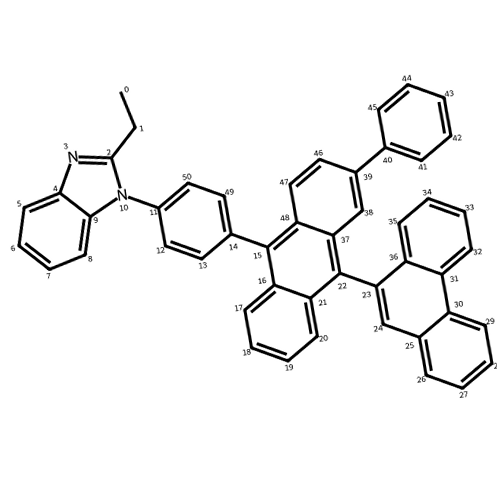 CCc1nc2ccccc2n1-c1ccc(-c2c3ccccc3c(-c3cc4ccccc4c4ccccc34)c3cc(-c4ccccc4)ccc23)cc1